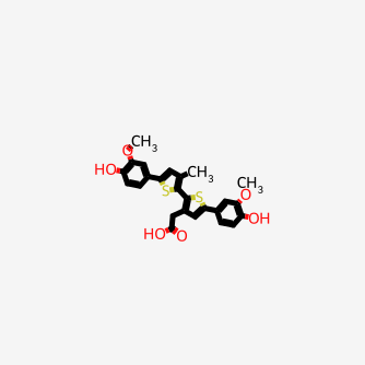 COc1cc(-c2cc(C)c(-c3sc(-c4ccc(O)c(OC)c4)cc3CC(=O)O)s2)ccc1O